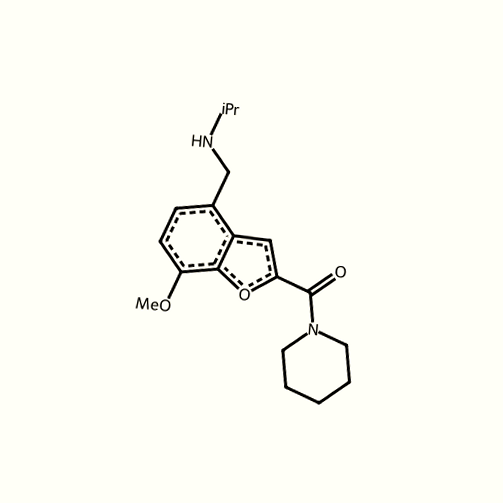 COc1ccc(CNC(C)C)c2cc(C(=O)N3CCCCC3)oc12